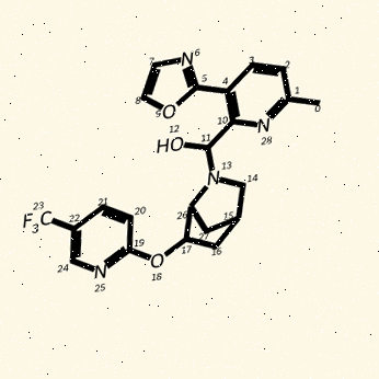 Cc1ccc(-c2ncco2)c(C(O)N2CC3CC(Oc4ccc(C(F)(F)F)cn4)C2C3)n1